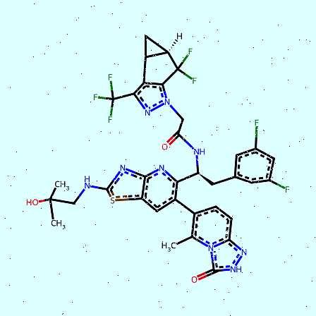 Cc1c(-c2cc3sc(NCC(C)(C)O)nc3nc2[C@H](Cc2cc(F)cc(F)c2)NC(=O)Cn2nc(C(F)(F)F)c3c2C(F)(F)[C@@H]2CC32)ccc2n[nH]c(=O)n12